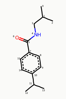 CC(C)CNC(=O)c1ccc(C(C)C)cc1